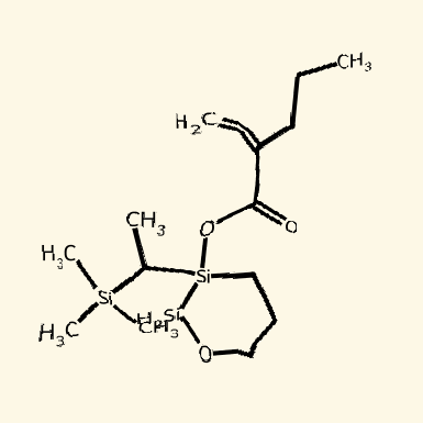 C=C(CCC)C(=O)O[Si]1(C(C)[Si](C)(C)C)CCCO[SiH2]1